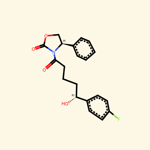 O=C(CCC[C@@H](O)c1ccc(F)cc1)N1C(=O)OC[C@H]1c1ccccc1